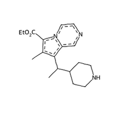 CCOC(=O)c1c(C)c(C(C)C2CCNCC2)c2cnccn12